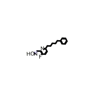 O/N=C/c1nc(CCCCCc2ccccc2)ccc1F